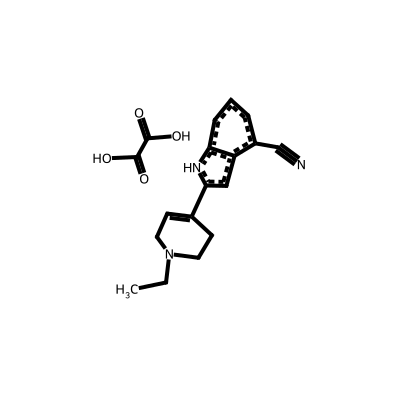 CCN1CC=C(c2cc3c(C#N)cccc3[nH]2)CC1.O=C(O)C(=O)O